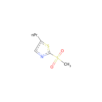 CC[CH]c1cnc(S(C)(=O)=O)s1